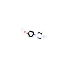 CCOc1ccc(N2CCN[C@H](C)C2)cc1F